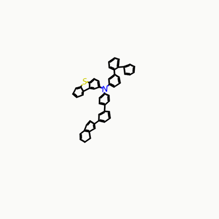 C1=Cc2ccc(-c3cccc(-c4ccc(N(c5cccc(-c6ccccc6-c6ccccc6)c5)c5ccc6sc7ccccc7c6c5)cc4)c3)cc2CC1